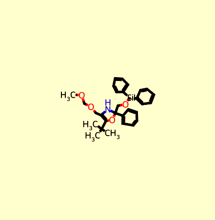 COCOCC1=C(C(C)(C)C)OC(CO[SiH](c2ccccc2)c2ccccc2)(c2ccccc2)N1